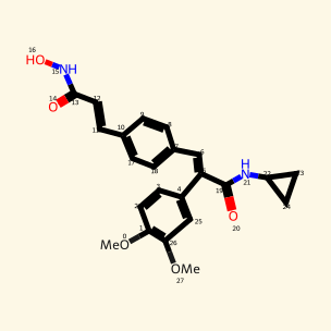 COc1ccc(/C(=C\c2ccc(/C=C/C(=O)NO)cc2)C(=O)NC2CC2)cc1OC